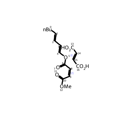 CCCCC=CC=COC(=O)/C=C\C(=O)OC.O=C(O)/C=C/C(=O)O